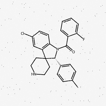 Cc1ccc([C@H]2N(C(=O)c3ccccc3F)c3ccc(Cl)cc3C23CCNCC3)cc1